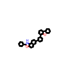 c1ccc(C2Nc3c(ccc4cc(-c5cccc(-c6cccc7c6oc6ccccc67)c5)ccc34)O2)cc1